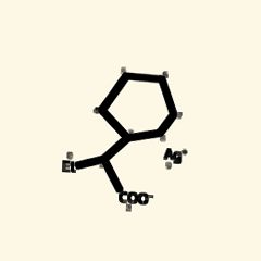 CCC(C(=O)[O-])C1CCCCC1.[Ag+]